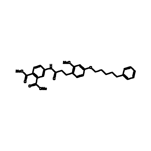 COC(=O)c1ccc(NC(=O)CCc2ccc(OCCCCCc3ccccc3)cc2OC)cc1C(=O)OC